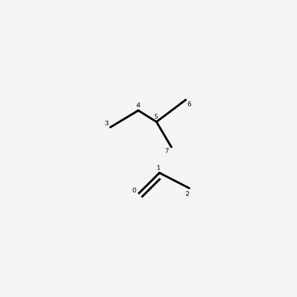 C=CC.CCC(C)C